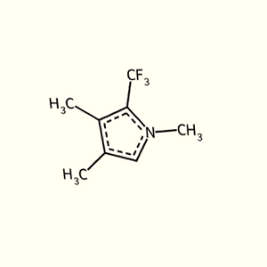 Cc1cn(C)c(C(F)(F)F)c1C